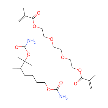 C=C(C)C(=O)OCCOCCOCCOC(=O)C(=C)C.CC(CCCCOC(N)=O)C(C)(C)OC(N)=O